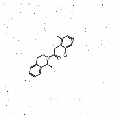 Cc1cncc(Cl)c1CC(=O)N1CCc2ccccc2[C@@H]1C